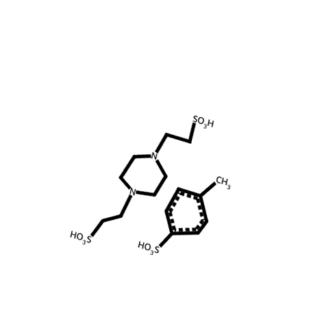 Cc1ccc(S(=O)(=O)O)cc1.O=S(=O)(O)CCN1CCN(CCS(=O)(=O)O)CC1